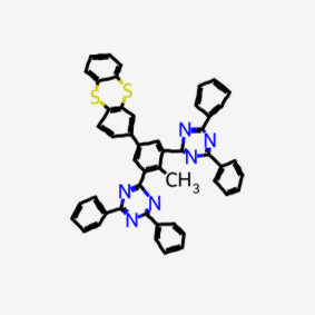 Cc1c(-c2nc(-c3ccccc3)nc(-c3ccccc3)n2)cc(-c2ccc3c(c2)Sc2ccccc2S3)cc1-c1nc(-c2ccccc2)nc(-c2ccccc2)n1